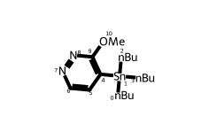 CCC[CH2][Sn]([CH2]CCC)([CH2]CCC)[c]1ccnnc1OC